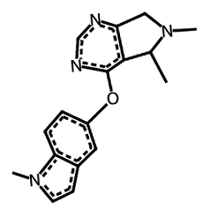 CC1c2c(ncnc2Oc2ccc3c(ccn3C)c2)CN1C